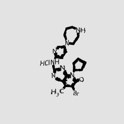 Cc1c(Br)c(=O)n(C2CCCC2)c2nc(Nc3ccc(N4CCCNCC4)cn3)ncc12.Cl